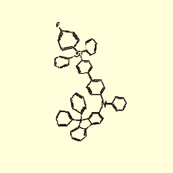 Fc1ccc([Si](c2ccccc2)(c2ccccc2)c2ccc(-c3ccc(N(c4ccccc4)c4ccc5c(c4)C(c4ccccc4)(c4ccccc4)c4ccccc4-5)cc3)cc2)cc1